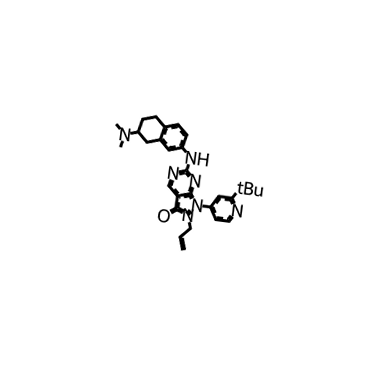 C=CCn1c(=O)c2cnc(Nc3ccc4c(c3)CC(N(C)C)CC4)nc2n1-c1ccnc(C(C)(C)C)c1